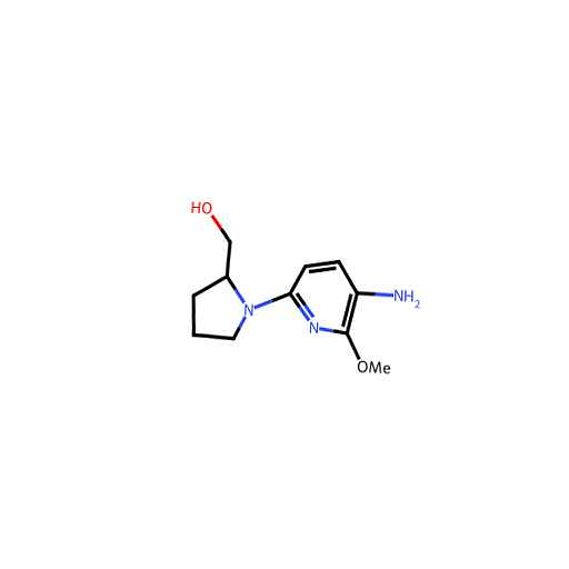 COc1nc(N2CCCC2CO)ccc1N